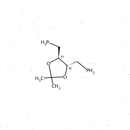 CC1(C)O[C@@H](CP)[C@H](CP)O1